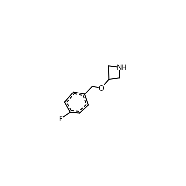 Fc1ccc(COC2CNC2)cc1